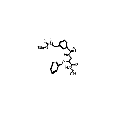 CC(C)(C)OC(=O)NCc1cccc(C(=O)NCC(SCc2ccccc2)C(=O)NCC#N)c1